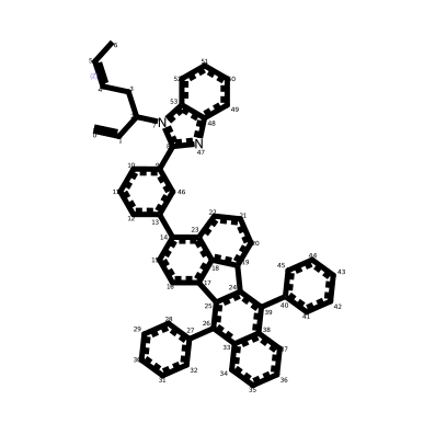 C=CC(C/C=C\C)n1c(-c2cccc(-c3ccc4c5c(cccc35)-c3c-4c(-c4ccccc4)c4ccccc4c3-c3ccccc3)c2)nc2ccccc21